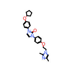 Cc1cn(CCOc2ccc(-n3ccn(-c4ccc(OC5CCCC5)cc4)c3=O)cc2)c(C)n1